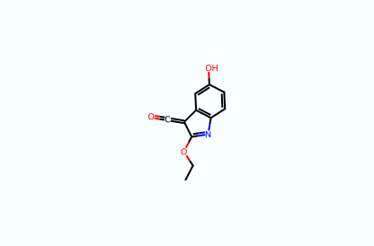 CCOC1=Nc2ccc(O)cc2C1=C=O